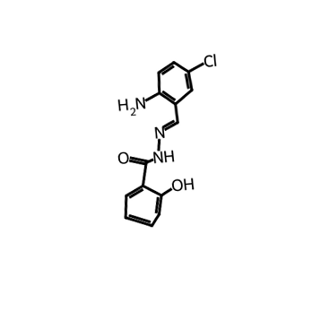 Nc1ccc(Cl)cc1C=NNC(=O)c1ccccc1O